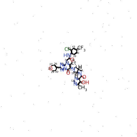 CCc1c(N2C[C@H]3CN(C(=O)c4ncnc(C)c4O)[C@H]3C2)c(=O)n2nc(C3=CCOCC3)nc2n1CC(=O)Nc1ccc(C(F)(F)F)cc1Cl